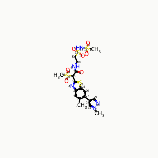 Cc1cc2nc(C(C(=O)NCCS(=O)(=O)NS(C)(=O)=O)S(C)(=O)=O)sc2cc1-c1cnn(C)c1